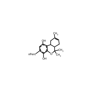 CCCCCc1cc(O)c2c(c1O)OC(C)(C)C1CC=C(C)CC21